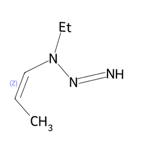 C/C=C\N(CC)N=N